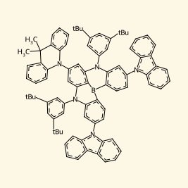 CC(C)(C)c1cc(N2c3cc(-n4c5ccccc5c5ccccc54)ccc3B3c4ccc(-n5c6ccccc6c6ccccc65)cc4N(c4cc(C(C)(C)C)cc(C(C)(C)C)c4)c4cc(N5c6ccccc6C(C)(C)c6ccccc65)cc2c43)cc(C(C)(C)C)c1